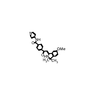 COc1ccc2c(c1)/C(=C/C(=O)c1ccc(C(=O)Nc3ccncc3)cc1)NC2(C)C